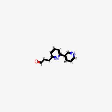 O=CCCc1cccc(-c2cccnc2)n1